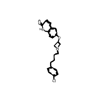 O=C1CCc2cc(OC3CN(CCCCc4ccc(Cl)cc4)C3)ccc2N1